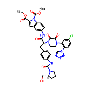 CC(C)(C)OC(=O)c1cc2cc(NC(=O)[C@H](Cc3ccc(NC(=O)N4CCC[C@@H]4CO)cc3)N3CCN(c4cc(Cl)ccc4-n4cnnn4)C(=O)C3=O)ccc2n1C(=O)OC(C)(C)C